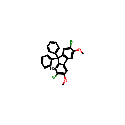 COc1cc2c(cc1Br)C(c1ccccc1)(c1ccccc1)c1[siH]c(Br)c(OC)cc1-2